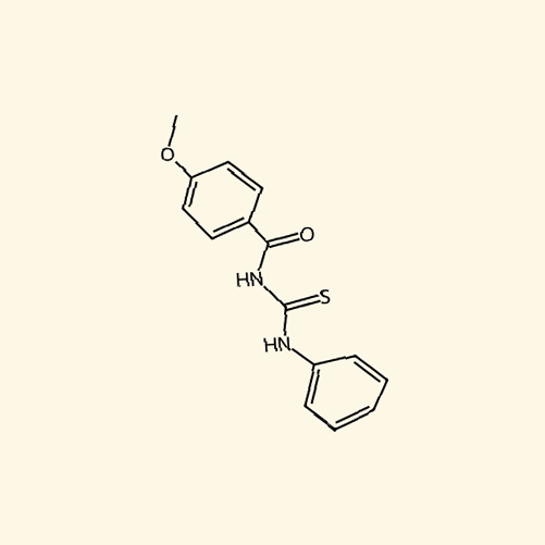 COc1ccc(C(=O)NC(=S)Nc2ccccc2)cc1